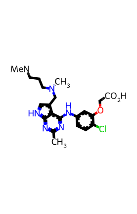 CNCCCN(C)Cc1c[nH]c2nc(C)nc(Nc3ccc(Cl)c(OCC(=O)O)c3)c12